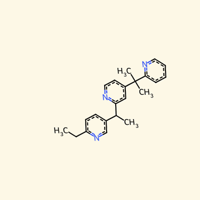 CCc1ccc(C(C)c2cc(C(C)(C)c3ccccn3)ccn2)cn1